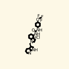 Cl.O=C(Nc1ccc(OC(F)(F)F)cc1)Nc1cccc2c1ccn2Cc1c[nH]c2ncccc12